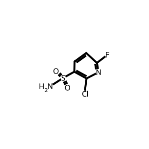 NS(=O)(=O)c1ccc(F)nc1Cl